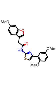 COc1ccc(OC)c(-c2csc(NC(=O)Cc3coc4cc(OC)ccc34)n2)c1